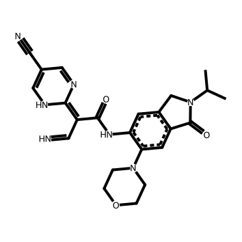 CC(C)N1Cc2cc(NC(=O)/C(C=N)=C3\N=CC(C#N)=CN3)c(N3CCOCC3)cc2C1=O